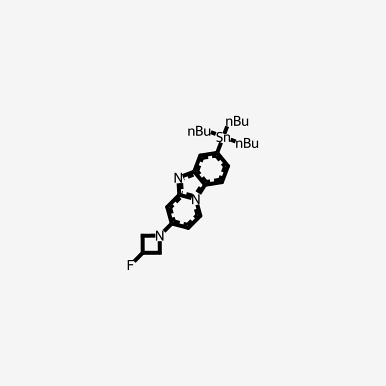 CCC[CH2][Sn]([CH2]CCC)([CH2]CCC)[c]1ccc2c(c1)nc1cc(N3CC(F)C3)ccn12